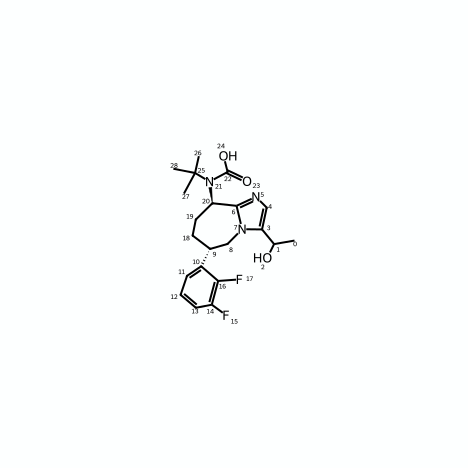 CC(O)c1cnc2n1C[C@H](c1cccc(F)c1F)CC[C@H]2N(C(=O)O)C(C)(C)C